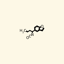 C=CCC(N=C=O)c1ccc2occc2c1